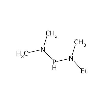 CCN(C)PN(C)C